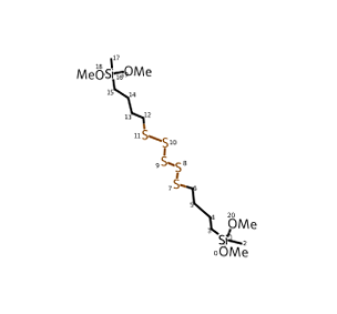 CO[Si](C)(CCCCSSSSSCCCC[Si](C)(OC)OC)OC